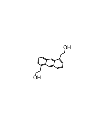 OCCc1cccc2cc3c(CCO)cccc3cc12